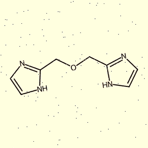 c1c[nH]c(COCc2ncc[nH]2)n1